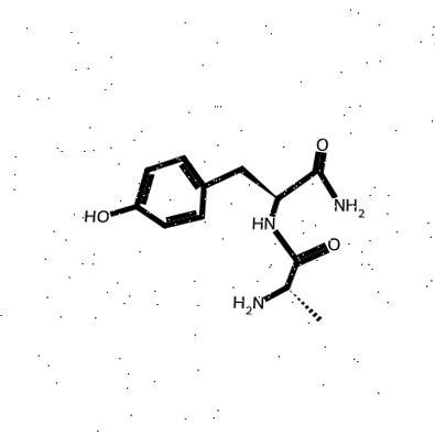 C[C@H](N)C(=O)N[C@@H](Cc1ccc(O)cc1)C(N)=O